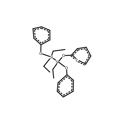 CC[Si](CC)(Oc1ccccc1)[Si](CC)(Oc1ccccc1)Oc1ccccc1